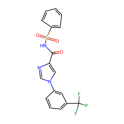 O=C(NS(=O)(=O)c1ccccc1)c1cn(-c2cccc(C(F)(F)F)c2)cn1